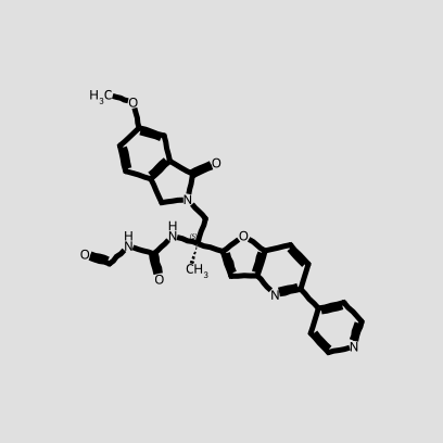 COc1ccc2c(c1)C(=O)N(C[C@](C)(NC(=O)NC=O)c1cc3nc(-c4ccncc4)ccc3o1)C2